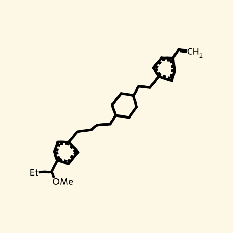 C=Cc1ccc(CCC2CCC(CCCCc3ccc(C(CC)OC)cc3)CC2)cc1